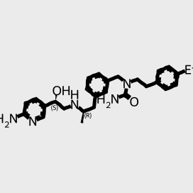 CCc1ccc(CCN(Cc2cccc(C[C@@H](C)NC[C@@H](O)c3ccc(N)nc3)c2)C(N)=O)cc1